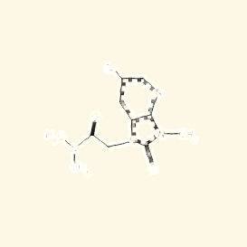 CN(C)C(=O)Cn1c(=O)n(C)c2ncc(Br)cc21